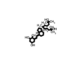 C=C1/C(=C\C=C2/CCC[C@]3(C)[C@@H](C(C)(CCCC(C)(C)O)CCCC(C)(C)O)CC[C@@H]23)C[C@@H](O)CC1O